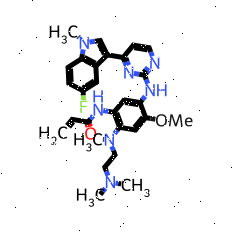 C=CC(=O)Nc1cc(Nc2nccc(-c3cn(C)c4ccc(F)cc34)n2)c(OC)cc1N(C)CCN(C)C